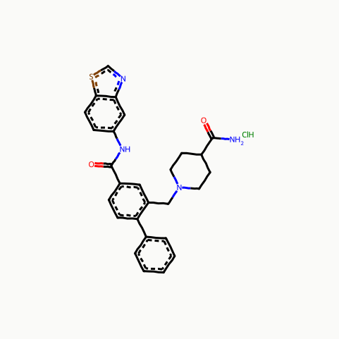 Cl.NC(=O)C1CCN(Cc2cc(C(=O)Nc3ccc4scnc4c3)ccc2-c2ccccc2)CC1